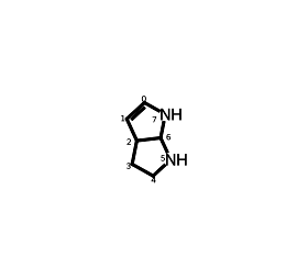 C1=CC2CCNC2N1